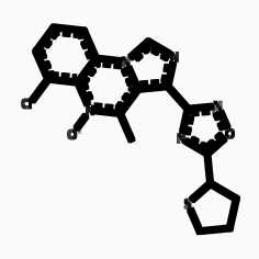 Cc1c2c(-c3noc(C4CCCS4)n3)ncn2c2cccc(Cl)c2[n+]1[O-]